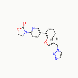 O=C1OCCN1c1ccc(C2=C3OC=C(Cn4ccnn4)[C@@H]3CC=C2)cn1